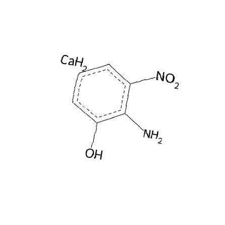 Nc1c(O)cccc1[N+](=O)[O-].[CaH2]